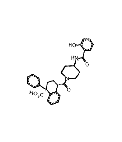 O=C(NC1CCN(C(=O)[C@@H]2CC[C@](C(=O)O)(c3ccccc3)c3ccccc32)CC1)c1ccccc1O